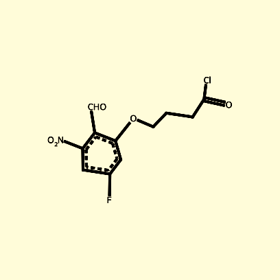 O=Cc1c(OCCCC(=O)Cl)cc(F)cc1[N+](=O)[O-]